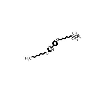 CCCCCCCCOc1cnc(-c2ccc(OCCCCCC[Si](C)(C)C)cc2)nc1